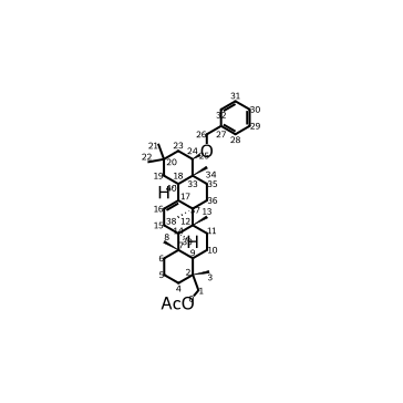 CC(=O)OC[C@]1(C)CCC[C@@]2(C)C1CC[C@]1(C)[C@@H]2CC=C2[C@H]3CC(C)(C)C[C@@H](OCc4ccccc4)[C@]3(C)CC[C@]21C